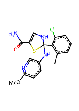 COc1ccc(NC2(c3c(C)cccc3Cl)NC=C(C(N)=O)S2)cn1